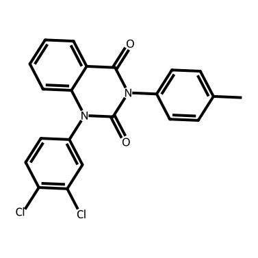 Cc1ccc(-n2c(=O)c3ccccc3n(-c3ccc(Cl)c(Cl)c3)c2=O)cc1